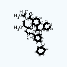 CC(C)N1C[C@@H](C)[C@H](CN(C)Cc2ccc(Oc3ccccc3)cc2)Oc2c(C(=O)Nc3ccncc3)cccc2C1=O